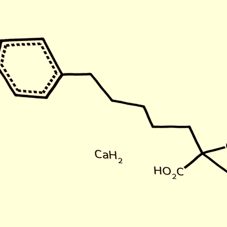 O=C(O)C1(CCCCCc2ccccc2)CO1.[CaH2]